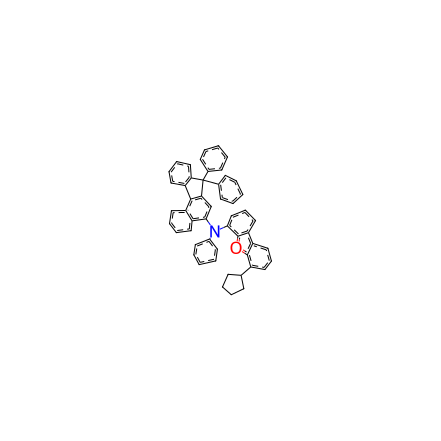 c1ccc(N(c2cc3c(c4ccccc24)-c2ccccc2C3(c2ccccc2)c2ccccc2)c2cccc3c2oc2c(C4CCCC4)cccc23)cc1